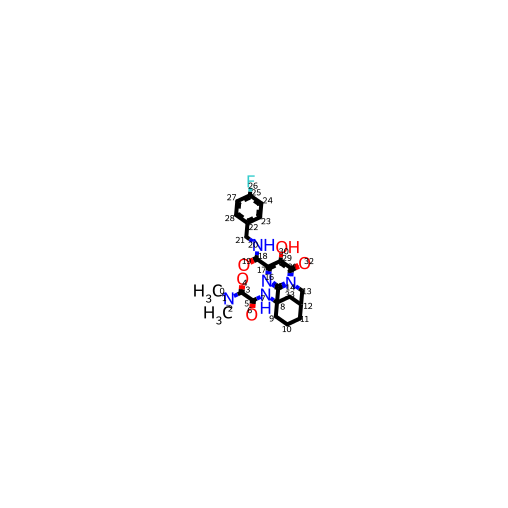 CN(C)C(=O)C(=O)NC12CCCC(Cn3c1nc(C(=O)NCc1ccc(F)cc1)c(O)c3=O)C2